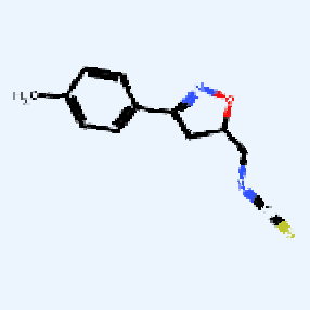 Cc1ccc(C2=NOC(CN=C=S)C2)cc1